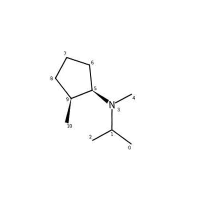 CC(C)N(C)[C@@H]1CCC[C@@H]1C